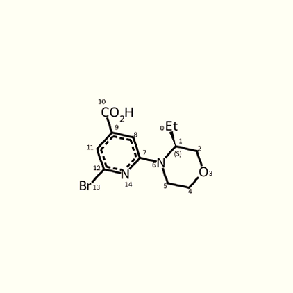 CC[C@H]1COCCN1c1cc(C(=O)O)cc(Br)n1